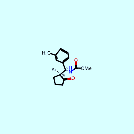 COC(=O)N[C@@H](c1cccc(C)c1)[C@]1(C(C)=O)CCCC1=O